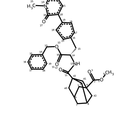 COC(=O)C12CC3CC(CC(C(=O)N[C@@H](Cc4ccc(-c5cccn(C)c5=O)cc4)C(=O)OCc4ccccc4)(C3)C1)C2